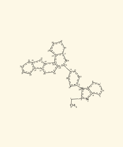 CCc1nc2ccccc2n1-c1ccc(-c2nc3ccccc3c3c2ccc2c4ccccc4oc23)cc1